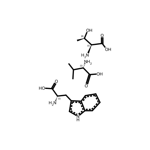 CC(C)[C@H](N)C(=O)O.C[C@@H](O)[C@H](N)C(=O)O.N[C@@H](Cc1c[nH]c2ccccc12)C(=O)O